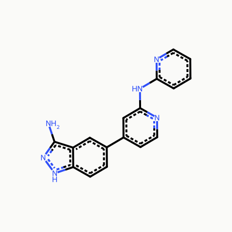 Nc1n[nH]c2ccc(-c3ccnc(Nc4ccccn4)c3)cc12